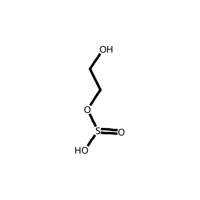 O=S(O)OCCO